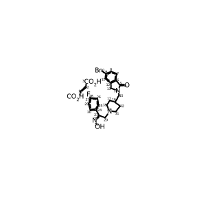 O=C(O)/C=C/C(=O)O.O=C1c2ccc(Br)cc2CN1CC1CCN(C/C(=N\O)c2ccc(F)cc2)CC1